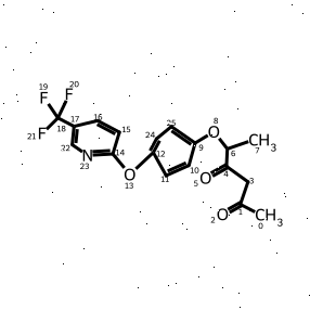 CC(=O)CC(=O)C(C)Oc1ccc(Oc2ccc(C(F)(F)F)cn2)cc1